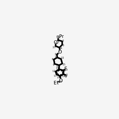 CCCC1CCC(OCC2CCC(c3ccc(OCC)c(F)c3F)CC2)CO1